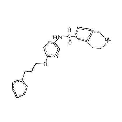 O=S(=O)(Nc1ccc(OCCCc2ccccc2)nc1)c1ccc2c(c1)CCNC2